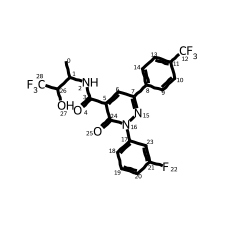 CC(NC(=O)c1cc(-c2ccc(C(F)(F)F)cc2)nn(-c2cccc(F)c2)c1=O)C(O)C(F)(F)F